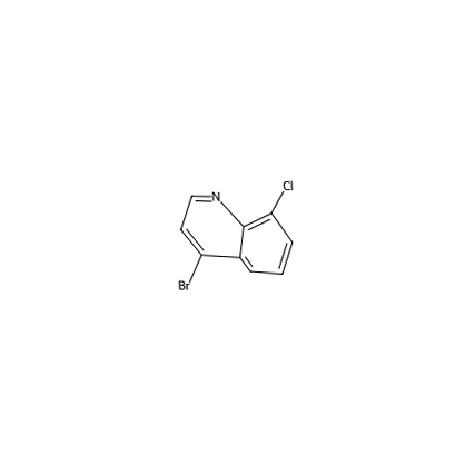 Clc1cccc2c(Br)ccnc12